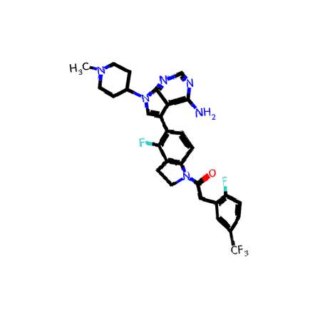 CN1CCC(n2cc(-c3ccc4c(c3F)CCN4C(=O)Cc3cc(C(F)(F)F)ccc3F)c3c(N)ncnc32)CC1